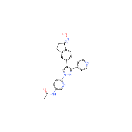 CC(=O)Nc1ccc(-n2cc(-c3ccc4c(c3)CC/C4=N\O)c(-c3ccncc3)n2)nc1